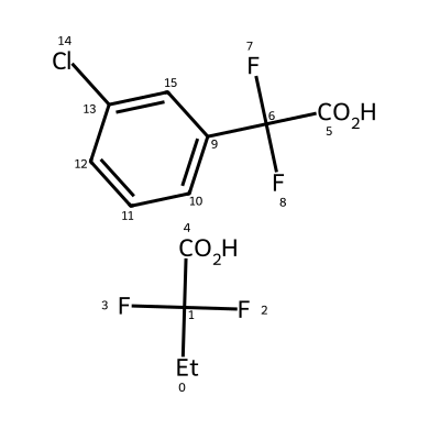 CCC(F)(F)C(=O)O.O=C(O)C(F)(F)c1cccc(Cl)c1